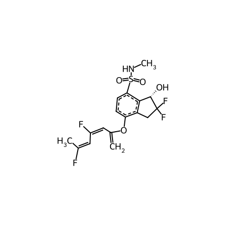 C=C(/C=C(F)\C=C(/C)F)Oc1ccc(S(=O)(=O)NC)c2c1CC(F)(F)[C@H]2O